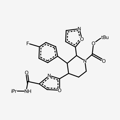 CC(C)NC(=O)c1coc(C2CCN(C(=O)OC(C)(C)C)C(c3ccno3)C2c2ccc(F)cc2)n1